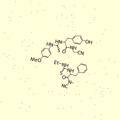 CCNC(=S)NC(Cc1ccccc1)C(=O)N(C)C#N.COc1ccc(NC(=S)NC(Cc2ccc(O)cc2)C(=O)NCC#N)cc1